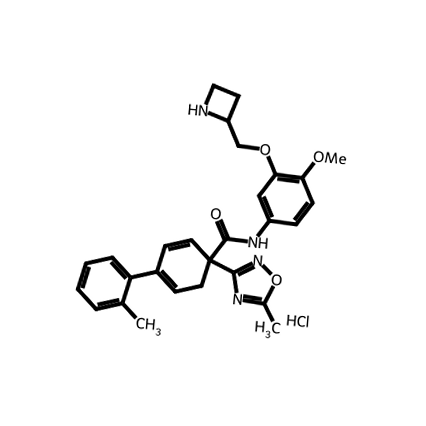 COc1ccc(NC(=O)C2(c3noc(C)n3)C=CC(c3ccccc3C)=CC2)cc1OCC1CCN1.Cl